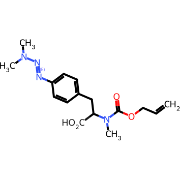 C=CCOC(=O)N(C)C(Cc1ccc(/N=N/N(C)C)cc1)C(=O)O